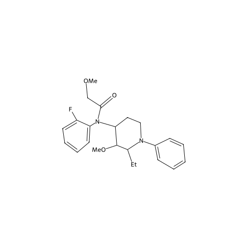 CCC1C(OC)C(N(C(=O)COC)c2ccccc2F)CCN1c1ccccc1